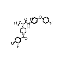 CC(C(=O)Nc1ccc(Oc2ccc(F)cc2)cn1)N1CCN(C(=O)c2ccc(=O)[nH]c2)CC1